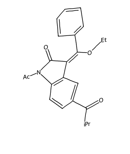 CCO/C(=C1/C(=O)N(C(C)=O)c2ccc(C(=O)C(C)C)cc21)c1ccccc1